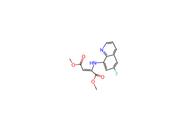 COC(=O)/C=C(\Nc1cc(F)cc2cccnc12)C(=O)OC